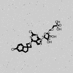 O=P(O)(O)COC[C@H]1O[C@@H](n2ncc3c(N4CC5(CCc6cc(Cl)ccc65)C4)nc(Cl)nc32)[C@H](O)[C@@H]1O